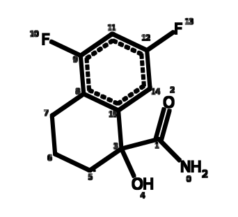 NC(=O)C1(O)[CH]CCc2c(F)cc(F)cc21